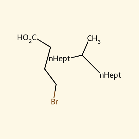 CCCCCCCC(C)CCCCCCC.O=C(O)CCCBr